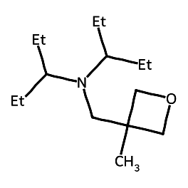 CCC(CC)N(CC1(C)COC1)C(CC)CC